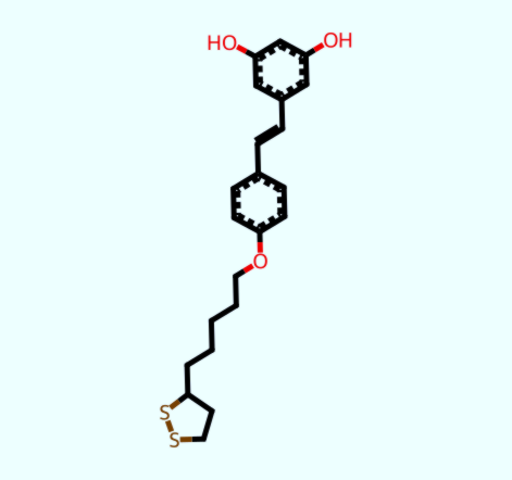 Oc1cc(O)cc(/C=C/c2ccc(OCCCCCC3CCSS3)cc2)c1